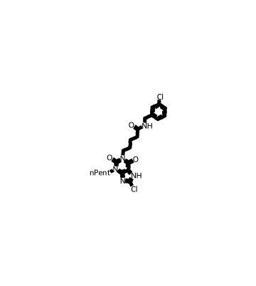 CCCCCn1c(=O)n(CCCCC(=O)NCc2cccc(Cl)c2)c(=O)c2[nH]c(Cl)nc21